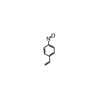 C=Cc1ccc(N=O)cc1